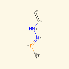 C=CN/N=P/C(C)C